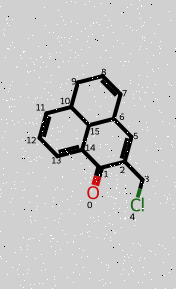 O=C1C(CCl)=CC2C=CCC3C=CC=C1C23